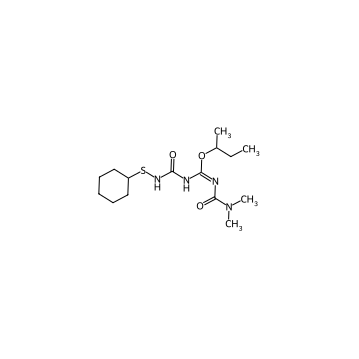 CCC(C)OC(=NC(=O)N(C)C)NC(=O)NSC1CCCCC1